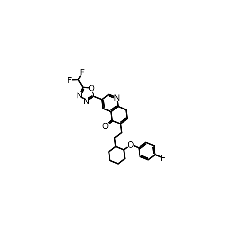 O=C1C(CCC2CCCCC2Oc2ccc(F)cc2)=CCc2ncc(-c3nnc(C(F)F)o3)cc21